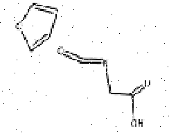 O=C=NCC(=O)O.c1ccoc1